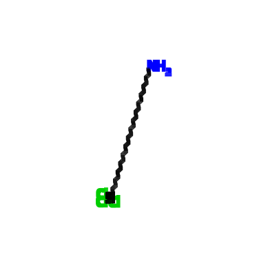 NCCCCCCCCCCCCCCCCCCCCCCCCCCCCCC[Si](Cl)(Cl)Cl